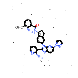 Nc1ncccc1-c1nc2ccc(-n3cccn3)nc2n1-c1ccc2c(c1)CC[C@@H]2NC(=O)c1cccc(C=O)c1N